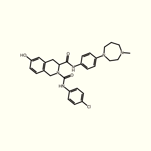 CN1CCCN(c2ccc(NC(=O)C3Cc4cc(O)ccc4CN3C(=O)Nc3ccc(Cl)cc3)cc2)CC1